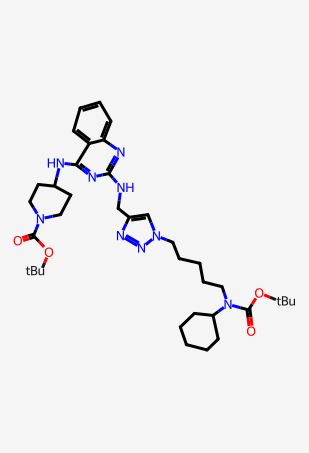 CC(C)(C)OC(=O)N1CCC(Nc2nc(NCc3cn(CCCCCN(C(=O)OC(C)(C)C)C4CCCCC4)nn3)nc3ccccc23)CC1